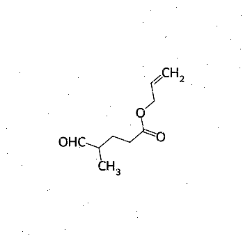 C=CCOC(=O)CCC(C)C=O